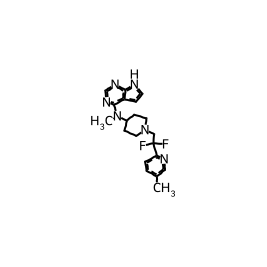 Cc1ccc(C(F)(F)CN2CCC(N(C)c3ncnc4[nH]ccc34)CC2)nc1